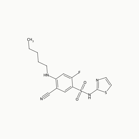 CCCCCNc1cc(F)c(S(=O)(=O)Nc2nccs2)cc1C#N